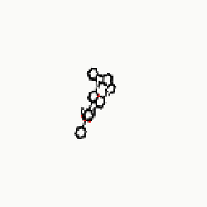 c1ccc(-c2ccc(-n3ccc4ccc5c6ccccc6n(-c6ccc(-c7ncc(-c8ccccc8)cn7)cc6)c5c43)cc2)cc1